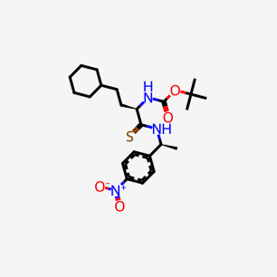 C[C@H](NC(=S)[C@@H](CCC1CCCCC1)NC(=O)OC(C)(C)C)c1ccc([N+](=O)[O-])cc1